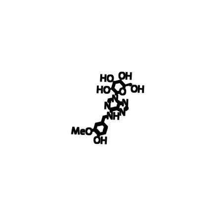 COc1cc(CNc2ncn(C3O[C@H](CO)[C@@H](O)[C@H](O)[C@H]3O)c3ncnc2-3)ccc1O